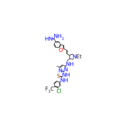 CCN1CC(/C=C/c2cc3cc(C(=N)N)ccc3o2)C(CNc2cc(C)nc(NC(=S)Nc3ccc(C(F)(F)F)c(Cl)c3)n2)C1